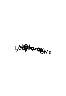 CCc1c(/C=C/c2ccc(/C=C/c3ccc(C(=O)OC)cc3)cc2)c(=O)oc2cc(N(C)C)ccc12